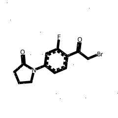 O=C(CBr)c1ccc(N2CCCC2=O)cc1F